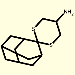 NC1CSC2(SC1)C1CC3CC(C1)CC2C3